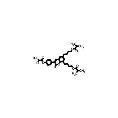 C=C(C)C(=O)OCCCCc1cc(CCCCOC(=O)C(=C)C)c2oc(=O)c(-c3ccc(OC(=O)C(C)=O)cc3)cc2c1